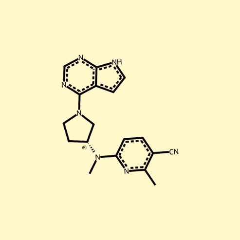 Cc1nc(N(C)[C@@H]2CCN(c3ncnc4[nH]ccc34)C2)ccc1C#N